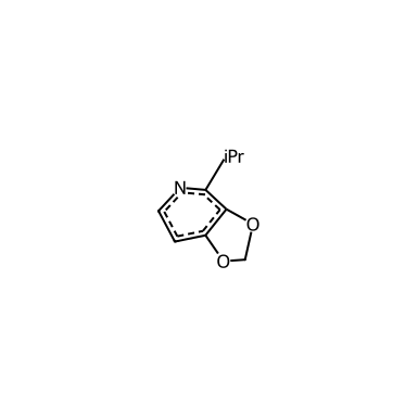 CC(C)c1nccc2c1OCO2